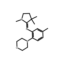 Cc1ccc(N2CCOCC2)c(N=C2N(C)CCC2(C)C)c1